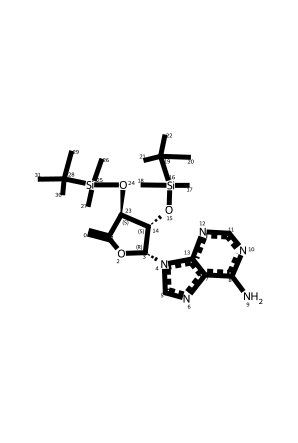 C=C1O[C@@H](n2cnc3c(N)ncnc32)[C@@H](O[Si](C)(C)C(C)(C)C)[C@@H]1O[Si](C)(C)C(C)(C)C